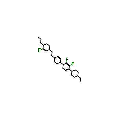 CCCC1CCC(CCC2=CCC(C3CC=C(C4CCC(CC)CC4)C(F)=C3F)C=C2)C=C1F